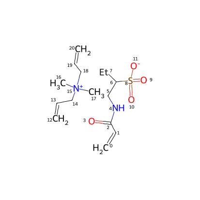 C=CC(=O)NCC(CC)S(=O)(=O)[O-].C=CC[N+](C)(C)CC=C